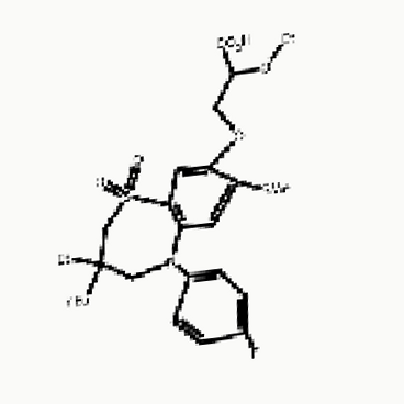 CCCCC1(CC)CN(c2ccc(F)cc2)c2cc(SC)c(OCC(OCC)C(=O)O)cc2S(=O)(=O)C1